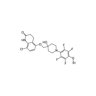 CCOc1c(F)c(F)c(N2CCC(O)(COc3ccc(Cl)c4c3CCC(=O)N4)CC2)c(F)c1F